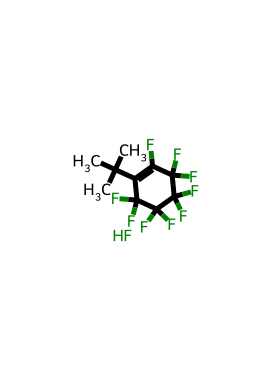 CC(C)(C)C1=C(F)C(F)(F)C(F)(F)C(F)(F)C1(F)F.F